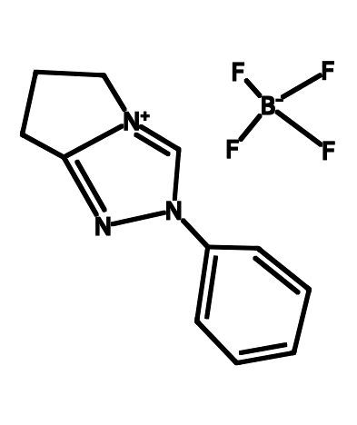 F[B-](F)(F)F.c1ccc(-n2c[n+]3c(n2)CCC3)cc1